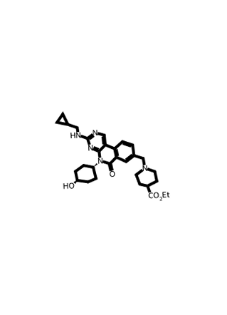 CCOC(=O)C1CCN(Cc2ccc3c(c2)c(=O)n([C@H]2CC[C@H](O)CC2)c2nc(NCC4CC4)ncc32)CC1